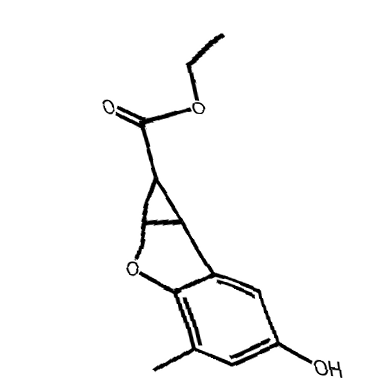 CCOC(=O)C1C2Oc3c(C)cc(O)cc3C21